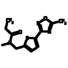 CN(Cc1ccc(-c2noc(C(F)(F)F)n2)s1)C(=O)CC(F)(F)F